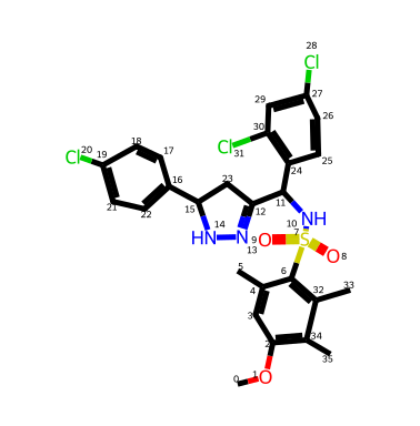 COc1cc(C)c(S(=O)(=O)NC(C2=NNC(c3ccc(Cl)cc3)C2)c2ccc(Cl)cc2Cl)c(C)c1C